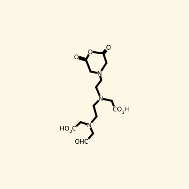 O=CCN(CCN(CCN1CC(=O)OC(=O)C1)CC(=O)O)CC(=O)O